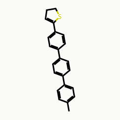 Cc1ccc(-c2ccc(-c3ccc(C4=CCCS4)cc3)cc2)cc1